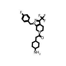 NC1CCC(CC(=O)N2CCc3c(C(F)(F)F)nn(Cc4ccc(F)cc4)c3C2)CC1